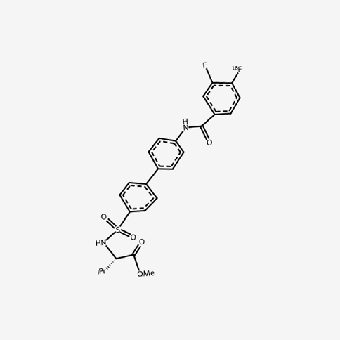 COC(=O)[C@@H](NS(=O)(=O)c1ccc(-c2ccc(NC(=O)c3ccc([18F])c(F)c3)cc2)cc1)C(C)C